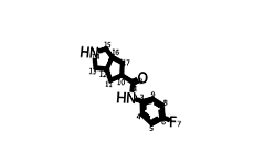 O=C(Nc1ccc(F)cc1)C1CC2CNCC2C1